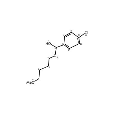 COCCCCOC(O)c1ccc(Cl)cc1